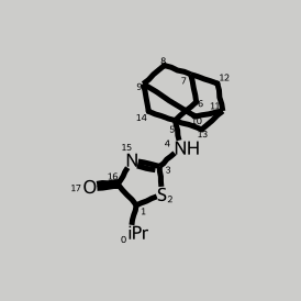 CC(C)C1SC(NC23CC4CC(CC(C4)C2)C3)=NC1=O